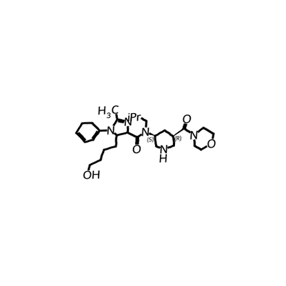 CC1=NC(C(=O)N(CC(C)C)[C@@H]2CNC[C@H](C(=O)N3CCOCC3)C2)C(CCCCO)N1C1=CC=CCC1